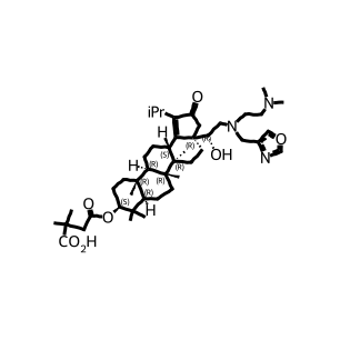 CC(C)C1=C2[C@H]3CC[C@@H]4[C@@]5(C)CC[C@H](OC(=O)CC(C)(C)C(=O)O)C(C)(C)[C@@H]5CC[C@@]4(C)[C@]3(C)CC[C@@]2([C@@H](O)CN(CCN(C)C)Cc2cocn2)CC1=O